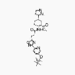 COC(=O)C1=C(NC(=O)CCc2nc(-c3ccc(O[Si](C)(C)C(C)(C)C)cn3)no2)CCC(c2ccnn2C)C1